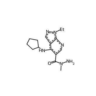 CCn1ncc2c(NC3CCCC3)c(C(=O)N(C)N)cnc21